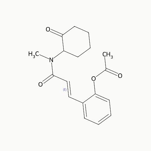 CC(=O)Oc1ccccc1/C=C/C(=O)N(C)C1CCCCC1=O